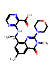 Cc1cc([C@@H](C)Nc2nccnc2C(=O)O)c2nc(N3CCOCC3)n(C)c(=O)c2c1